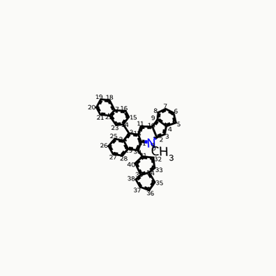 Cn1c2cc3ccccc3c-2cc2c(-c3ccc4ccccc4c3)c3ccccc3c(-c3ccc4ccccc4c3)c21